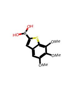 COc1cc2cc(B(O)O)sc2c(OC)c1OC